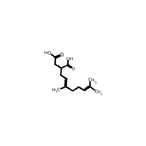 CC(C)=CCCC(C)=CCC(CC(=O)O)C(=O)O